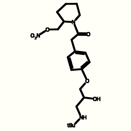 CC(C)(C)NCC(O)COc1ccc(CC(=O)N2CCCCC2CO[N+](=O)[O-])cc1